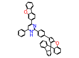 C1=CC2c3ccccc3C3(c4ccccc4Oc4ccc(-c5ccc(C6=NC(c7ccc8c(c7)oc7ccccc78)=CC(c7ccccc7)N6)cc5)cc43)C2C=C1